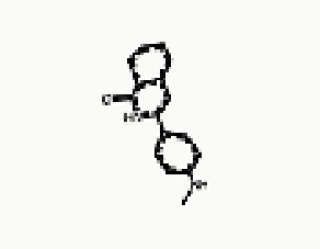 CNc1ccc(-c2cc3ccccc3c(=O)[nH]2)cc1